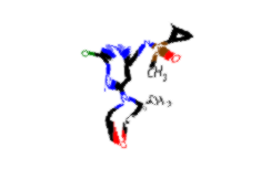 C[C@@H]1COCCN1c1cc(N=S(C)(=O)C2CC2)nc(Cl)n1